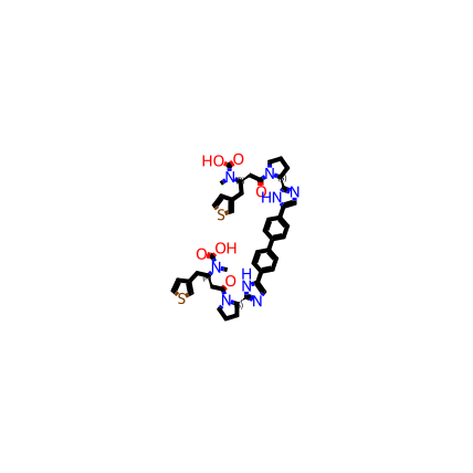 CN(C(=O)O)[C@@H](CC(=O)N1CCC[C@H]1c1ncc(-c2ccc(-c3ccc(-c4cnc([C@@H]5CCCN5C(=O)C[C@@H](Cc5ccsc5)N(C)C(=O)O)[nH]4)cc3)cc2)[nH]1)Cc1ccsc1